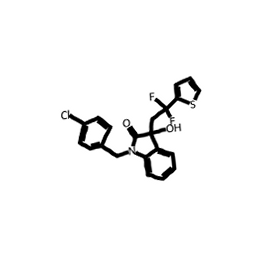 O=C1N(Cc2ccc(Cl)cc2)c2ccccc2C1(O)CC(F)(F)c1cccs1